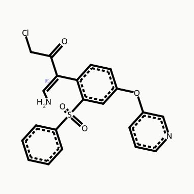 N/C=C(/C(=O)CCl)c1ccc(Oc2cccnc2)cc1S(=O)(=O)c1ccccc1